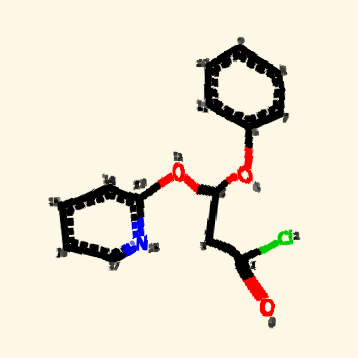 O=C(Cl)CC(Oc1ccccc1)Oc1ccccn1